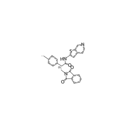 [CH2]c1ccc([C@@H](CN2C(=O)c3ccccc3C2=O)C(=O)Nc2cc3ccncc3s2)cc1